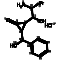 CC(C)[C@H](N)C(O)C1C(=O)C1C(O)c1ccccc1.Cl